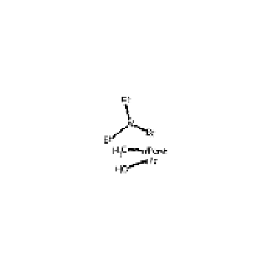 CC(C)O.CCCCCC.CCN(CC)CC